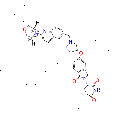 O=C1CCC(N2Cc3cc(OC4CCN(Cc5ccc6nc(N7[C@@H]8CC[C@H]7COC8)ccc6c5)C4)ccc3C2=O)C(=O)N1